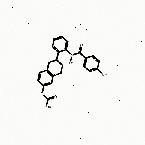 CCN(C(=O)c1ccc(O)cc1)c1ccccc1C1CCc2cc(OC(=O)C(C)(C)C)ccc2C1